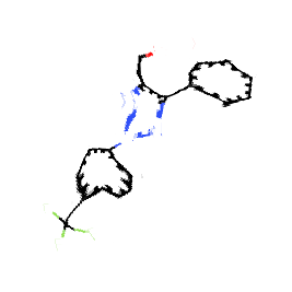 OCc1nn(-c2ccc(C(F)(F)F)cc2)nc1-c1ccccc1